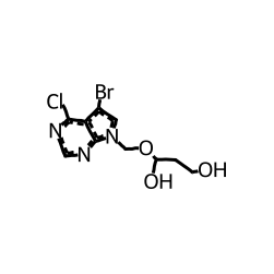 OCCC(O)OCn1cc(Br)c2c(Cl)ncnc21